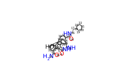 N=c1[nH]c(=O)c2ccc3c4ccc(C(=O)NCCc5ccccc5)c5c1cc(C(=O)O)c(c1ccc(C(N)=O)c2c31)c45